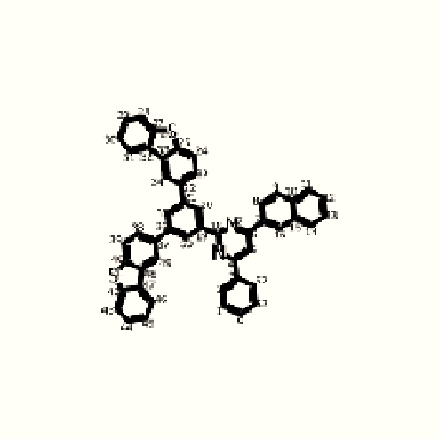 c1ccc(-c2cc(-c3ccc4ccccc4c3)nc(-c3cc(-c4ccc5sc6ccccc6c5c4)cc(-c4ccc5sc6ccccc6c5c4)c3)n2)cc1